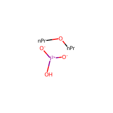 CCCOCCC.[O-][I+2]([O-])O